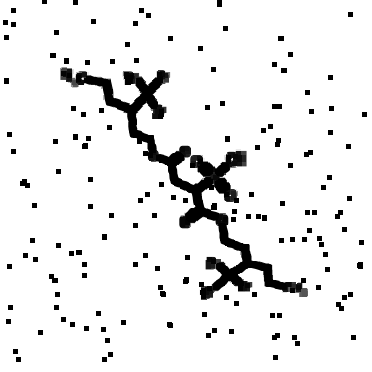 CCCC(CCOC(=O)CC(C(=O)OCCC(CCC)C(Br)(Br)Br)S(=O)(=O)O)C(Br)(Br)Br